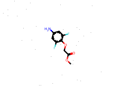 COC(=O)COc1c(F)cc(N)cc1F